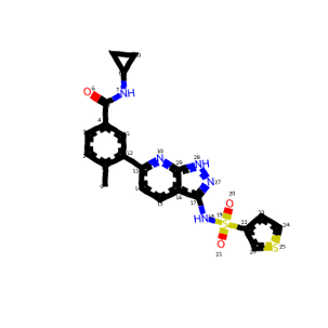 Cc1ccc(C(=O)NC2CC2)cc1-c1ccc2c(NS(=O)(=O)c3ccsc3)n[nH]c2n1